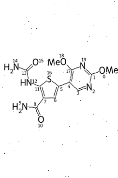 COc1ncc(-c2cc(C(N)=O)c(NC(N)=O)s2)c(OC)n1